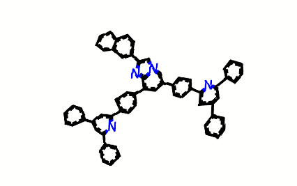 c1ccc(-c2cc(-c3ccccc3)nc(-c3ccc(-c4cc(-c5ccc(-c6cc(-c7ccccc7)cc(-c7ccccc7)n6)cc5)c5nc(-c6ccc7ccccc7c6)cn5c4)cc3)c2)cc1